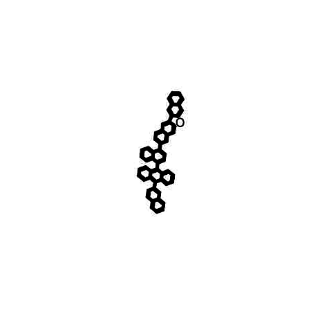 c1ccc2cc(-c3c4ccccc4c(-c4ccc(-c5ccc6cc7c(cc6c5)oc5cc6ccccc6cc57)c5ccccc45)c4ccccc34)ccc2c1